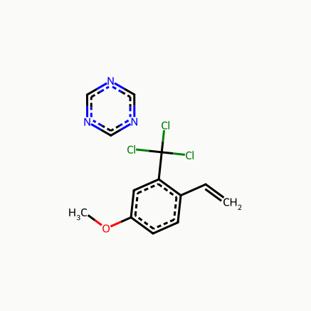 C=Cc1ccc(OC)cc1C(Cl)(Cl)Cl.c1ncncn1